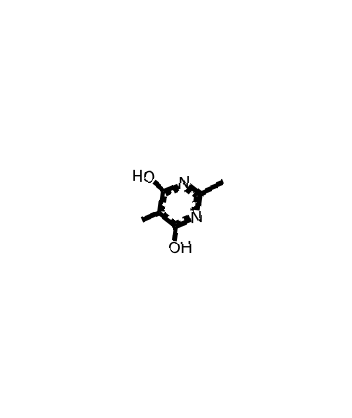 Cc1nc(O)c(C)c(O)n1